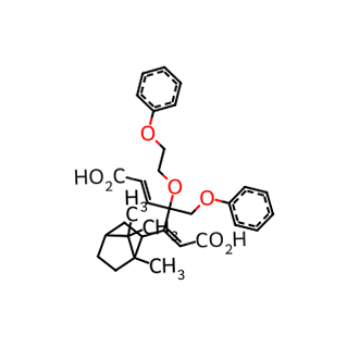 CC1(C)C2CCC1(C)C(C(=CC(=O)O)C(C=CC(=O)O)(COc1ccccc1)OCCOc1ccccc1)C2